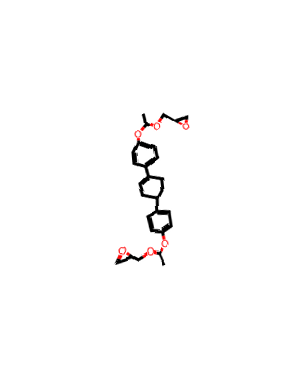 CC(OCC1CO1)Oc1ccc(C2=CCC(c3ccc(OC(C)OCC4CO4)cc3)CC2)cc1